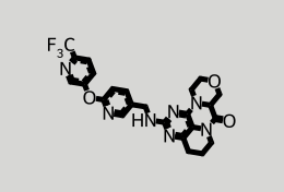 O=C1C2COCCN2c2nc(NCc3ccc(Oc4ccc(C(F)(F)F)nc4)nc3)nc3c2N1CCC3